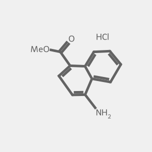 COC(=O)c1ccc(N)c2ccccc12.Cl